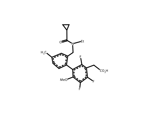 CCN(Cc1cc(C)ccc1-c1c(F)c(CC(=O)O)c(F)c(F)c1OC)C(=O)C1CC1